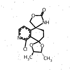 C[C@H]1OC2(CC[C@]3(COC(=O)N3)c3ccnc(Cl)c32)O[C@@H]1C